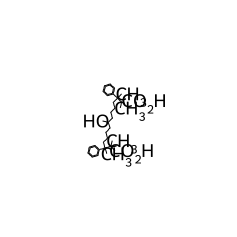 CC(C(=O)O)C(C)(CCCCC(O)CCCCC(C)(c1ccccc1)C(C)C(=O)O)c1ccccc1